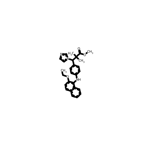 CCOc1ccc2ccccc2c1Nc1ccc(C(n2ccnc2)C(C)(C)C(=O)OC)cc1